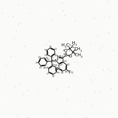 CC1(C)OB(c2nn(C(c3ccccc3)(c3ccccc3)c3ccccc3)c3ncc(F)cc23)OC1(C)C